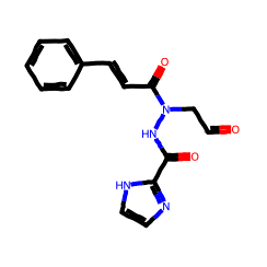 O=[C]CN(NC(=O)c1ncc[nH]1)C(=O)/C=C/c1ccccc1